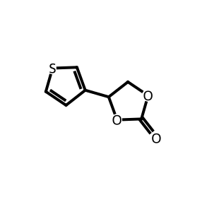 O=C1OCC(c2ccsc2)O1